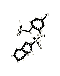 O=[SH](=O)Cc1ccc(Cl)cc1NS(=O)(=O)c1cc2ccccc2o1